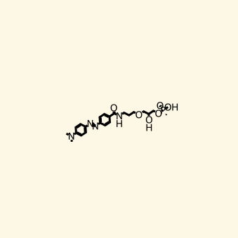 CN(C)c1ccc(/N=N/c2ccc(C(=O)NCCCOCC(O)CO[P@](C)(=O)O)cc2)cc1